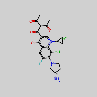 CC(=O)C(C(C)=O)C(=O)c1cn(C2CC2)c2c(Cl)c(N3CC[C@@H](N)C3)c(F)cc2c1=O.Cl